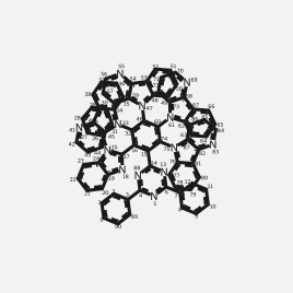 c1ccc(-c2nc(-c3ccccc3)nc(-c3c(-c4nc5ccccc5n4-c4ccccc4)c(-n4c5ccccc5c5ncccc54)c(-n4c5ccccc5c5ncccc54)c(-n4c5ccccc5c5ncccc54)c3-n3c4ccccc4c4ncccc43)n2)cc1